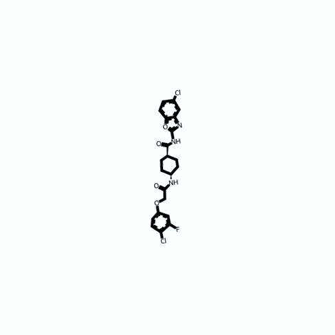 O=C(COc1ccc(Cl)c(F)c1)N[C@H]1CC[C@H](C(=O)Nc2nc3cc(Cl)ccc3o2)CC1